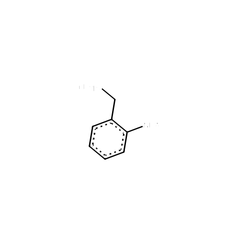 [CH2]C(=O)Nc1ccccc1CCCCCCCC